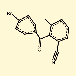 Cc1cccc(C#N)c1C(=O)c1ccc(Br)cc1